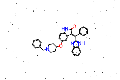 O=C1Nc2ccc(OC3CCN(Cc4ccccc4)CC3)cc2C1=C(c1ccccc1)c1nc2ccccc2[nH]1